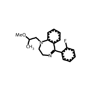 COC(C)CN1CCN=C(c2ccccc2F)c2ccccc21